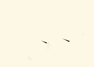 CC[C@@H](N[C@@H]1CCCc2cccnc21)c1ccccc1